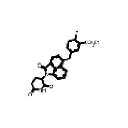 CCOC(=O)c1cc(Cc2ccc3c4c(cccc24)N(C2CCC(=O)NC2=O)C3=O)ccc1F